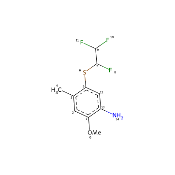 COc1cc(C)c(SC(F)C(F)F)cc1N